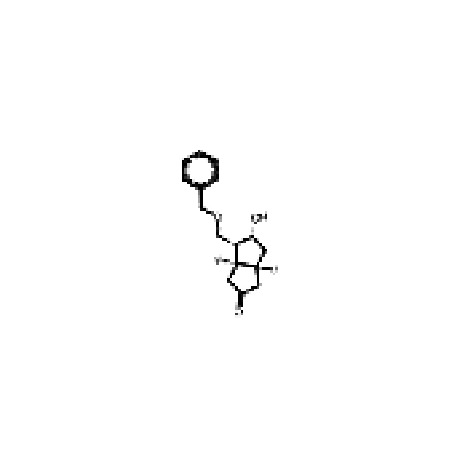 O=C1C[C@H]2C[C@@H](O)[C@H](COCc3ccccc3)[C@H]2C1